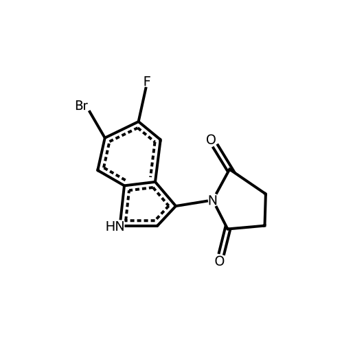 O=C1CCC(=O)N1c1c[nH]c2cc(Br)c(F)cc12